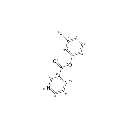 O=C(Oc1cccc(F)c1)c1cnccn1